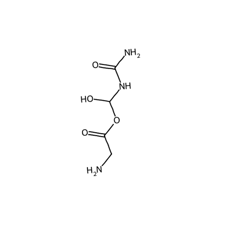 NCC(=O)OC(O)NC(N)=O